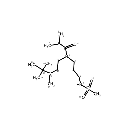 CC(C)C(=O)N(CCCNS(C)(=O)=O)CCN(C)C(C)(C)C